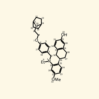 CCN(Cc1ccc(OCCN2C3CCC2CC3)cc1)c1cc(OC)ccc1[C@@H]1CCc2cc(O)ccc2C1